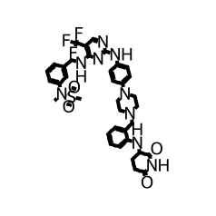 CN(c1cccc(CNc2nc(Nc3ccc(N4CCN(Cc5ccccc5NC5CCC(=O)NC5=O)CC4)cc3)ncc2C(F)(F)F)c1)S(C)(=O)=O